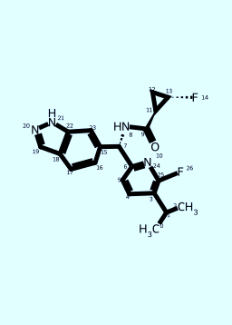 CC(C)c1ccc([C@@H](NC(=O)[C@H]2C[C@@H]2F)c2ccc3cn[nH]c3c2)nc1F